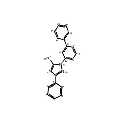 CCCc1nc(-c2ccccc2)nn1-c1cccc(-c2ccccc2)c1